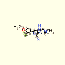 CCOc1ccc(-c2cc3[nH]c(CN(C)C)nc3c(C#N)n2)cc1C(F)(F)F